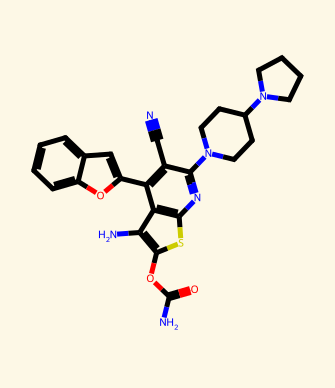 N#Cc1c(N2CCC(N3CCCC3)CC2)nc2sc(OC(N)=O)c(N)c2c1-c1cc2ccccc2o1